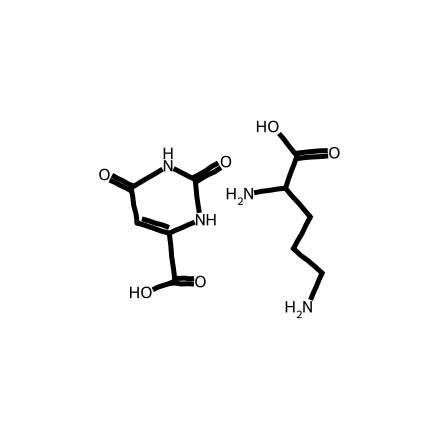 NCCCC(N)C(=O)O.O=C(O)c1cc(=O)[nH]c(=O)[nH]1